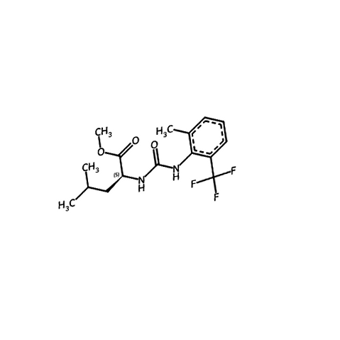 COC(=O)[C@H](CC(C)C)NC(=O)Nc1c(C)cccc1C(F)(F)F